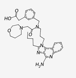 CCCCc1nc2c(N)nc3ccccc3c2n1CCCN(Cc1cccc(CC(=O)O)c1)C(=O)CN1CCCOCC1